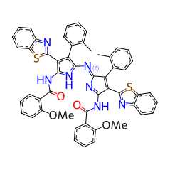 COc1ccccc1C(=O)NC1=N/C(=N\c2[nH]c(NC(=O)c3ccccc3OC)c(-c3nc4ccccc4s3)c2-c2ccccc2C)C(c2ccccc2C)=C1c1nc2ccccc2s1